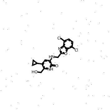 O=c1[nH]c(CO)c(C2CC2)cc1NCc1nc2c(Cl)ccc(Cl)c2o1